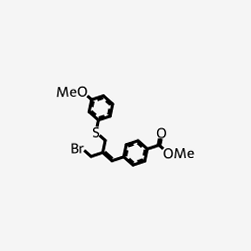 COC(=O)c1ccc(C=C(CBr)CSc2cccc(OC)c2)cc1